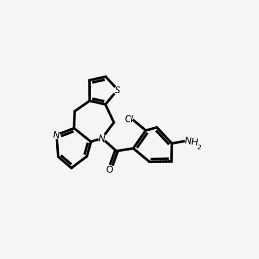 Nc1ccc(C(=O)N2Cc3sccc3Cc3ncccc32)c(Cl)c1